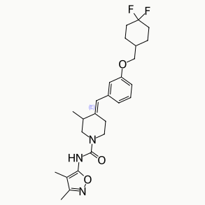 Cc1noc(NC(=O)N2CC/C(=C\c3cccc(OCC4CCC(F)(F)CC4)c3)C(C)C2)c1C